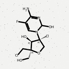 NC1=NC(O)N([C@@]2(Cl)CO[C@@](CO)(CCl)[C@H]2O)C=C1F